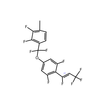 Cc1ccc(C(F)(F)Oc2cc(F)c(/C(F)=C/C(F)(F)F)c(F)c2)c(F)c1F